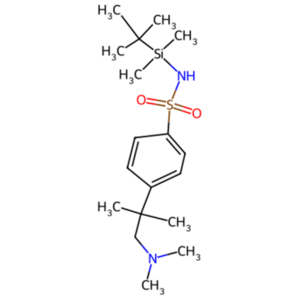 CN(C)CC(C)(C)c1ccc(S(=O)(=O)N[Si](C)(C)C(C)(C)C)cc1